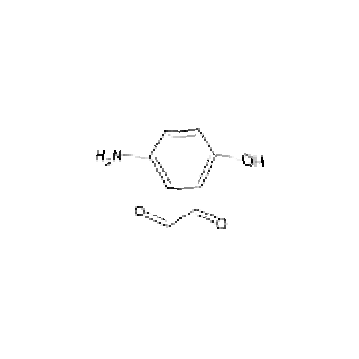 Nc1ccc(O)cc1.O=CC=O